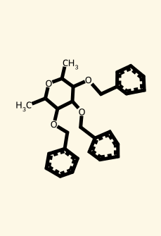 CC1OC(C)C(OCc2ccccc2)C(OCc2ccccc2)C1OCc1ccccc1